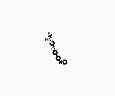 C=C(c1ccc(-c2ccc(OCC3CCN(NCC(C)(C)F)CC3)cc2)cc1)N1CCCCC1